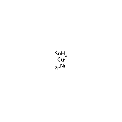 [Cu].[Ni].[SnH4].[Zn]